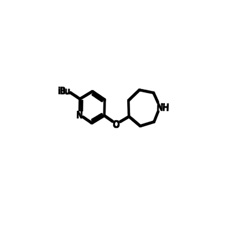 CCC(C)c1ccc(OC2CCCNCC2)cn1